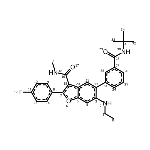 CCNc1cc2oc(-c3ccc(F)cc3)c(C(=O)NC)c2cc1-c1cccc(C(=O)NC(C)(C)C)c1